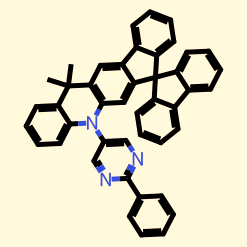 CC1(C)c2ccccc2N(c2cnc(-c3ccccc3)nc2)c2cc3c(cc21)-c1ccccc1C31c2ccccc2-c2ccccc21